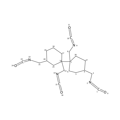 O=C=NCC1CCC(CN=C=O)(C2(CN=C=O)CCCC(CN=C=O)C2)CC1